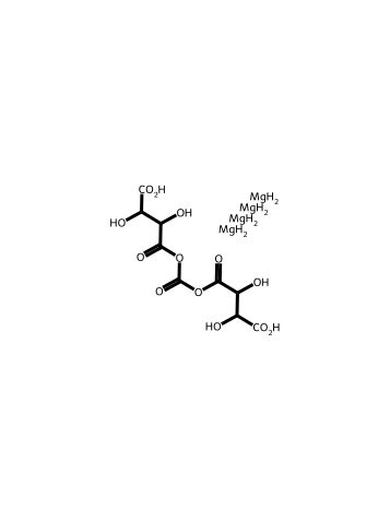 O=C(OC(=O)C(O)C(O)C(=O)O)OC(=O)C(O)C(O)C(=O)O.[MgH2].[MgH2].[MgH2].[MgH2]